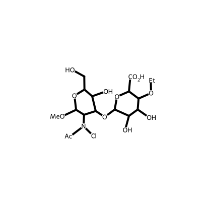 CCOC1C(C(=O)O)OC(OC2C(O)C(CO)OC(OC)C2N(Cl)C(C)=O)C(O)C1O